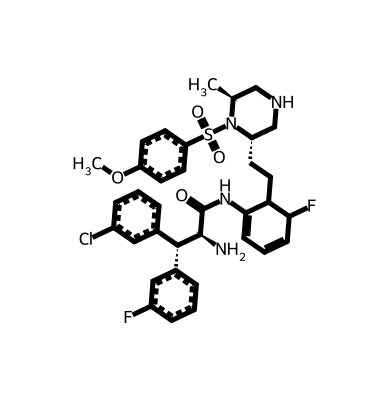 COc1ccc(S(=O)(=O)N2[C@@H](CCC3C(NC(=O)[C@@H](N)[C@H](c4cccc(F)c4)c4cccc(Cl)c4)=CC=CC3F)CNC[C@@H]2C)cc1